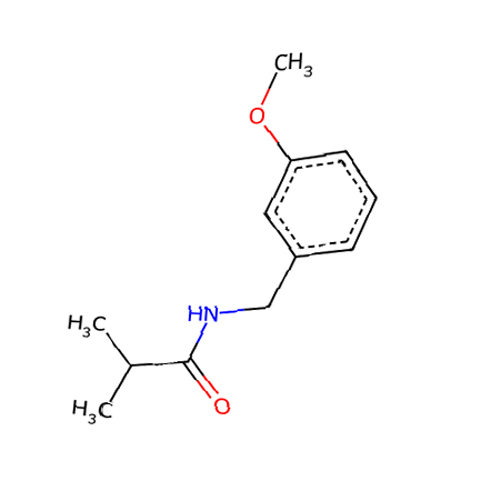 COc1cccc(CNC(=O)C(C)C)c1